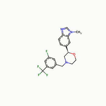 Cn1cnc2ccc([C@@H]3CN(Cc4cc(F)cc(C(F)(F)F)c4)CCO3)cc21